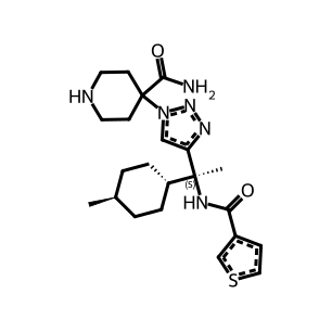 C[C@@](NC(=O)c1ccsc1)(c1cn(C2(C(N)=O)CCNCC2)nn1)[C@H]1CC[C@H](C)CC1